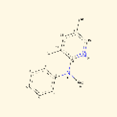 CC(=O)N(c1ccccc1)c1ncc(C)cc1C